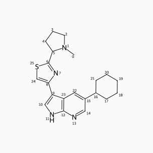 CN1CCCC1c1nc(-c2c[nH]c3ncc(C4CCCCC4)cc23)cs1